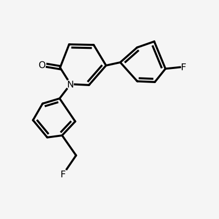 O=c1ccc(-c2ccc(F)cc2)cn1-c1cccc(CF)c1